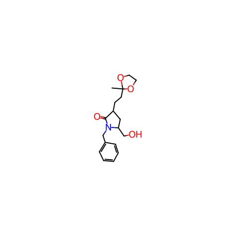 CC1(CCC2CC(CO)N(Cc3ccccc3)C2=O)OCCO1